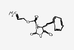 C=CCOC(=O)N1C(=O)OC(=O)C1=Cc1ccccc1